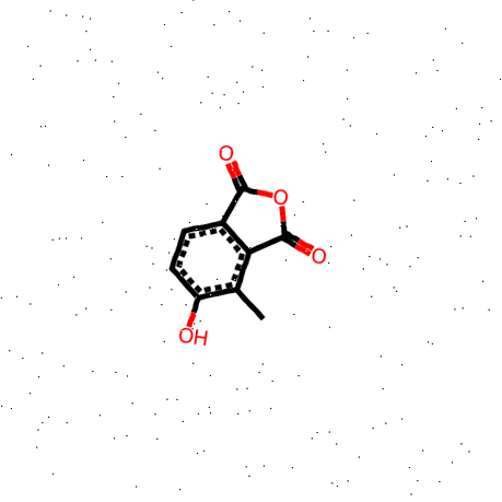 Cc1c(O)ccc2c1C(=O)OC2=O